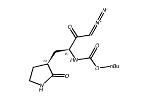 CCCCOC(=O)N[C@@H](C[C@@H]1CCNC1=O)C(=O)C=[N+]=[N-]